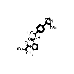 CCCCc1ncsc1-c1ccc([C@H](C)NC(=O)[C@@H]2CCCN2C(=O)[C@@H](C)C(C)(C)C)cc1